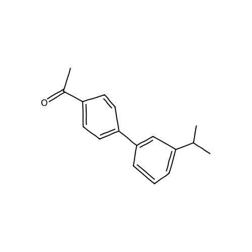 CC(=O)c1ccc(-c2cccc(C(C)C)c2)cc1